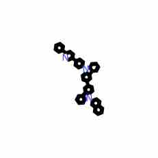 C1=CC2c3cc(-c4ccc5c(c4)c4ccccc4n5-c4ccc5ccccc5c4)ccc3N(c3ccc(-c4ccc(-c5ccccc5)nc4)cc3)C2C=C1